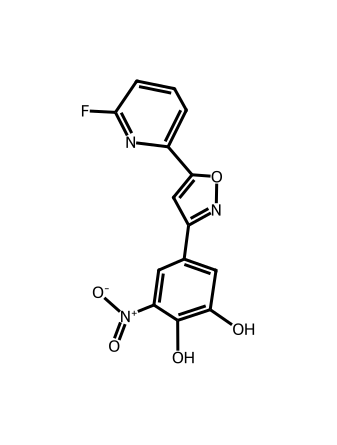 O=[N+]([O-])c1cc(-c2cc(-c3cccc(F)n3)on2)cc(O)c1O